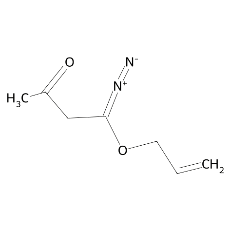 C=CCOC(CC(C)=O)=[N+]=[N-]